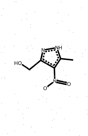 Cc1[nH]nc(CO)c1[N+](=O)[O-]